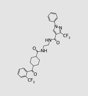 O=C(NCCNC(=O)C1CCC(C(=O)c2ccccc2C(F)(F)F)CC1)c1cn(-c2ccccc2)nc1C(F)(F)F